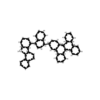 c1ccc2c(c1)ccc1c2oc2cccc(-c3ccc(-c4ccc5c(c4)c4ccccc4c4c6ccccc6c6ccccc6c54)c4ccccc34)c21